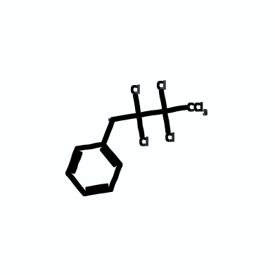 ClC(Cl)(Cl)C(Cl)(Cl)C(Cl)(Cl)[CH]c1ccccc1